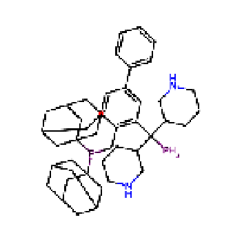 PC(c1cc(-c2ccccc2)ccc1CP(C12CC3CC(CC(C3)C1)C2)C12CC3CC(CC(C3)C1)C2)(C1CCCNC1)C1CCCNC1